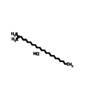 CCCCCCCCCCCCCCCCCCC=CCN(C)C.Cl